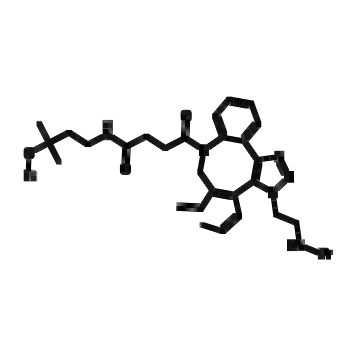 C=C/C1=C(\C=C/C)c2c(nnn2CCNC(C)C)-c2ccccc2N(C(=O)CCC(=O)NCCC(C)(C)OCC)C1